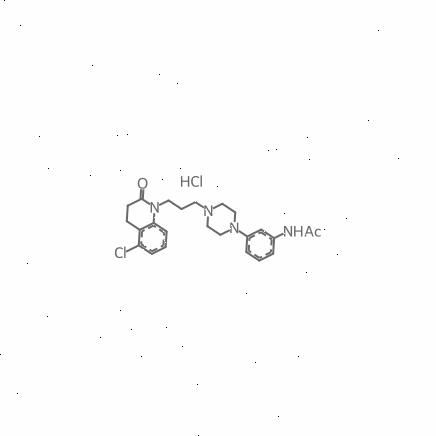 CC(=O)Nc1cccc(N2CCN(CCCN3C(=O)CCc4c(Cl)cccc43)CC2)c1.Cl